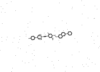 Cc1ccc(-c2cnc(C#Cc3cc(F)c(CCc4ccc5cc(-c6ccccc6)ccc5c4)cc3C)nc2)cc1